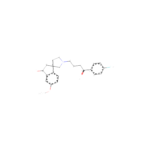 COc1ccc2c(c1)C(O)CC21CCN(CCCC(=O)c2ccc(F)cc2)C1